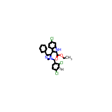 [2H]c1c(Cl)ccc(Cn2cnc(-c3ccccc3)c2-c2c(C(=O)OCC)[nH]c3cc(Cl)ccc23)c1Cl